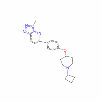 Cc1nnc2ccc(-c3ccc(OC4CCN(C5CCC5)CC4)cc3)nn12